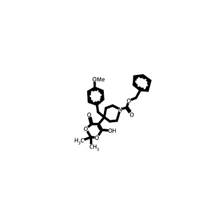 COc1ccc(CC2(C3=C(O)OC(C)(C)OC3=O)CCN(C(=O)OCc3ccccc3)CC2)cc1